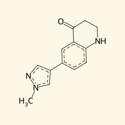 Cn1cc(-c2ccc3c(c2)C(=O)CCN3)cn1